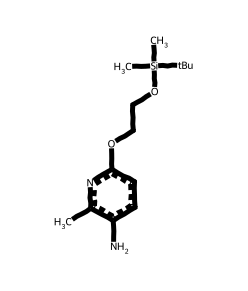 Cc1nc(OCCO[Si](C)(C)C(C)(C)C)ccc1N